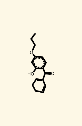 CCCOc1ccc(C(=O)C2=CCCC=C2)c(O)c1